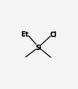 [CH2]C[Si](C)(C)Cl